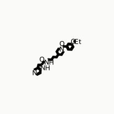 CCOc1cccc(C(=O)N2CCC(CCCCNC(=O)c3cc4cnccc4[nH]3)CC2)c1